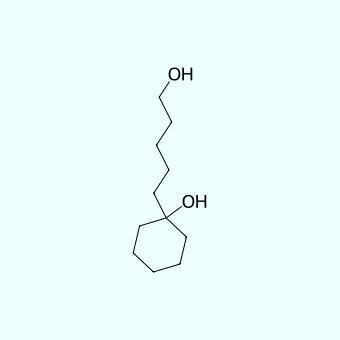 OCCCCCC1(O)CCCCC1